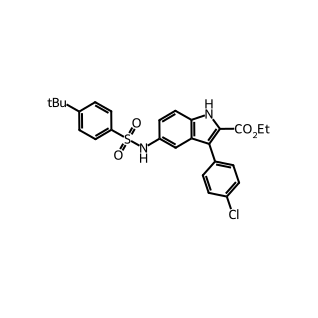 CCOC(=O)c1[nH]c2ccc(NS(=O)(=O)c3ccc(C(C)(C)C)cc3)cc2c1-c1ccc(Cl)cc1